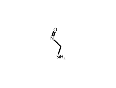 O=NC[SiH3]